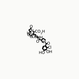 C[C@]1(/C=N/NC(=O)C2CCN(C(=O)c3ccc(O)c(O)c3Cl)C2)[C@H](C(=O)O)N2C(=O)C[C@H]2S1(=O)=O